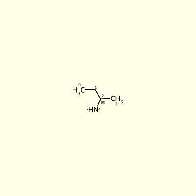 CC[C@@H](C)[NH]